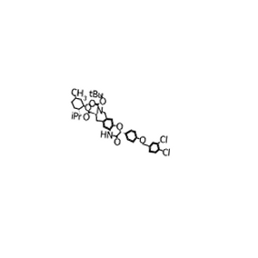 CC(C)[C@@H]1CC[C@@H](C)C[C@H]1OC(=O)[C@@H]1Cc2cc3c(cc2CN1C(=O)OC(C)(C)C)O[C@H](c1ccc(OCc2ccc(Cl)c(Cl)c2)cc1)C(=O)N3